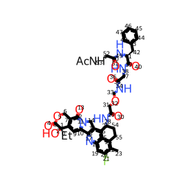 CC[C@@]1(O)C(=O)OCc2c1cc1n(c2=O)Cc2c-1nc1cc(F)c(C)c3c1c2[C@@H](NC(=O)COCNC(=O)CNC(=O)[C@H](Cc1ccccc1)NC(=O)CNC(C)=O)CC3